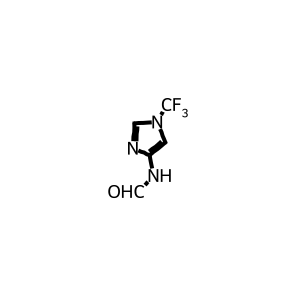 O=CNc1cn(C(F)(F)F)cn1